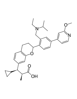 CCN(Cc1cc(-c2ccnc(OC)c2)ccc1C1CCc2ccc([C@H](C3CC3)[C@H](C)C(=O)O)cc2O1)C(C)C